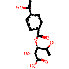 C=C(O)c1ccc(C(=O)O[C@@H](C(=C)O)[C@@H](O)C(=O)O)cc1